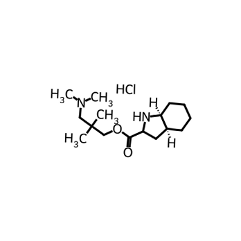 CN(C)CC(C)(C)COC(=O)C1C[C@@H]2CCCC[C@@H]2N1.Cl